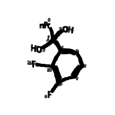 CCCC(O)(O)c1cccc(F)c1F